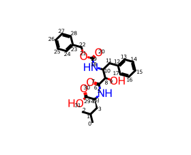 CC(C)C[C@H](NC(=O)C(O)C(Cc1ccccc1)NC(=O)OCc1ccccc1)C(=O)O